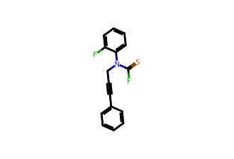 FC(=S)N(CC#Cc1ccccc1)c1ccccc1F